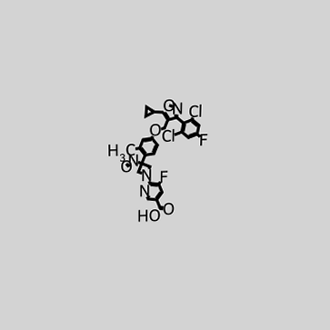 Cc1cc(OCc2c(-c3c(Cl)cc(F)cc3Cl)noc2C2CC2)ccc1C1(N=O)CN(c2ncc(C(=O)O)cc2F)C1